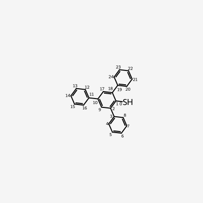 Sc1c(-c2ccccc2)cc(-c2ccccc2)cc1-c1ccccc1